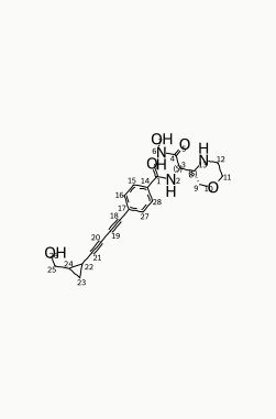 O=C(N[C@H](C(=O)NO)[C@H]1COCCN1)c1ccc(C#CC#CC2CC2CO)cc1